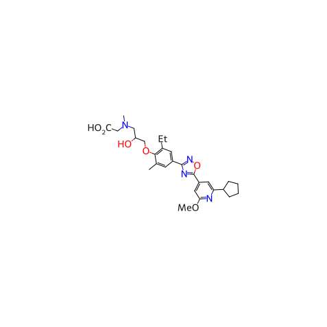 CCc1cc(-c2noc(-c3cc(OC)nc(C4CCCC4)c3)n2)cc(C)c1OCC(O)CN(C)CC(=O)O